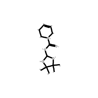 CC1(C)OC(OC(=O)N2CC=CCC2)OC1(C)C